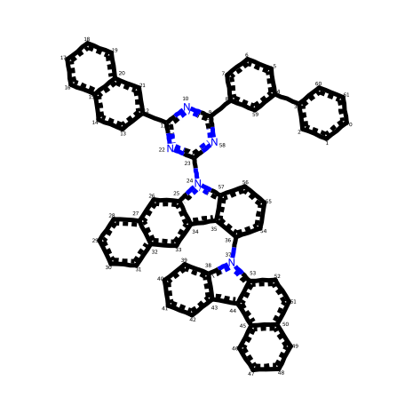 c1ccc(-c2cccc(-c3nc(-c4ccc5ccccc5c4)nc(-n4c5cc6ccccc6cc5c5c(-n6c7ccccc7c7c8ccccc8ccc76)cccc54)n3)c2)cc1